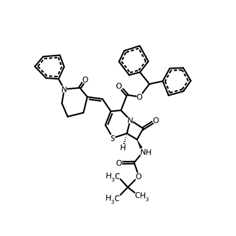 CC(C)(C)OC(=O)N[C@@H]1C(=O)N2C(C(=O)OC(c3ccccc3)c3ccccc3)C(C=C3CCCN(c4ccccc4)C3=O)=CS[C@H]12